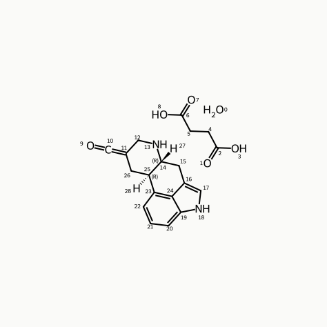 O.O=C(O)CCC(=O)O.O=C=C1CN[C@@H]2Cc3c[nH]c4cccc(c34)[C@H]2C1